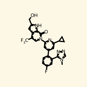 Cn1cnnc1-c1cc(F)ccc1-c1cc(C2CC2)nc(-n2cc(C(F)(F)F)c3cc(CO)[nH]c3c2=O)c1